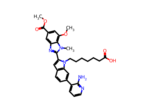 COC(=O)c1cc(OC)c2c(c1)nc(-c1cc3ccc(-c4cccnc4N)cc3n1CCCCCCC(=O)O)n2C